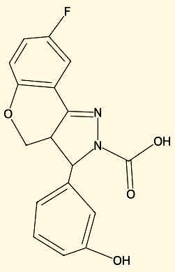 O=C(O)N1N=C2c3cc(F)ccc3OCC2C1c1cccc(O)c1